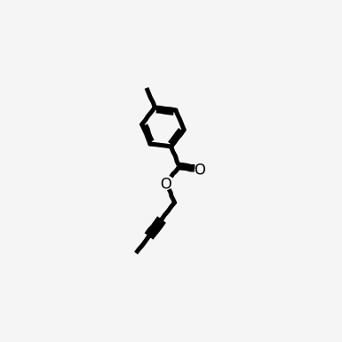 CC#CCOC(=O)c1ccc(C)cc1